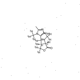 [2H]c1nc(C)n(C([2H])([2H])[2H])c1C([2H])([2H])[C@@]1([2H])C([2H])([2H])OC(=O)[C@@]1([2H])CC([2H])([2H])[2H]